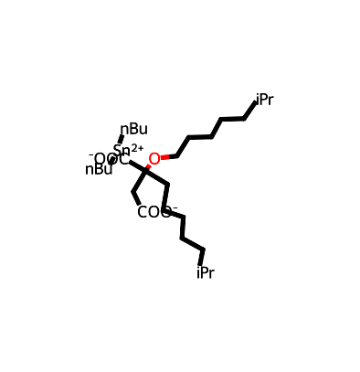 CC(C)CCCCCOC(CCCCCC(C)C)(CC(=O)[O-])C(=O)[O-].CCC[CH2][Sn+2][CH2]CCC